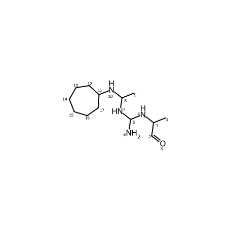 CC(C=O)NC(N)NC(C)NC1CCCCCC1